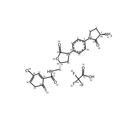 N[C@@H]1CCN(c2ccc(N3C[C@H](CNC(=O)C4=CC(Cl)=CCC4=S)OC3=O)cc2)C1=O.O=C(O)C(F)(F)F